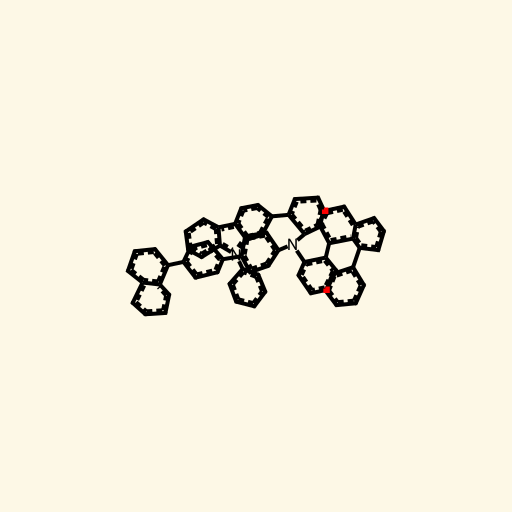 c1ccc(-c2cccc3cccc(-c4ccccc4N(c4ccc(-c5ccc(-c6cccc7ccccc67)cc5)cc4)c4ccccc4-c4ccc5c6ccccc6n(-c6ccccc6)c5c4)c23)cc1